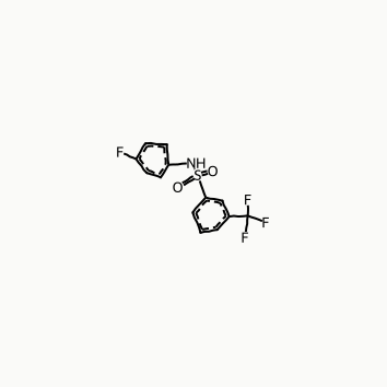 O=S(=O)(Nc1ccc(F)cc1)c1cccc(C(F)(F)F)c1